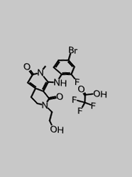 Cn1c(Nc2ccc(Br)cc2F)c2c(cc1=O)CCN(CCO)C2=O.O=C(O)C(F)(F)F